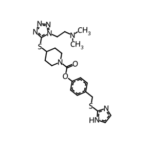 CN(C)CCn1nnnc1SC1CCN(C(=O)Oc2ccc(CSc3ncc[nH]3)cc2)CC1